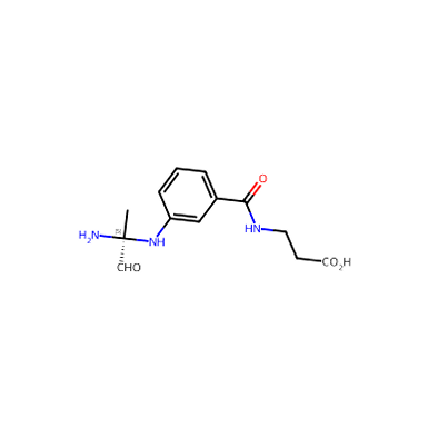 C[C@@](N)(C=O)Nc1cccc(C(=O)NCCC(=O)O)c1